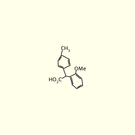 COc1ccccc1C(C(=O)O)c1ccc(C)cc1